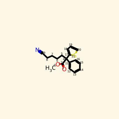 COC(=O)C(CCCCC#N)(c1ccccc1)c1cccs1